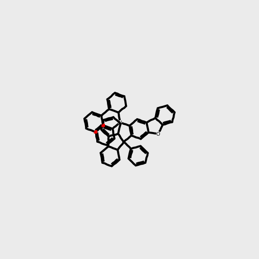 C1=CCC(N(c2ccccc2)c2cc3c(cc2C2(c4ccccc4)C4CC=CC=C4C4C=CC=CC42)oc2ccccc23)C(c2ccccc2)=C1